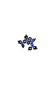 Cc1ccc(N(c2ccc(C)cc2)c2ccc(N(c3ccc(C)cc3)c3c4ccccc4c(N(c4ccc(C)cc4)c4ccc(N(c5ccc(C)cc5)c5ccc(C)cc5)cc4)c4ccccc34)cc2)cc1